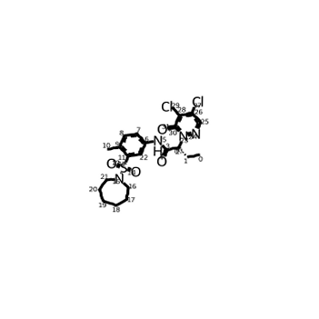 CC[C@H](C(=O)Nc1ccc(C)c(S(=O)(=O)N2CCCCCC2)c1)n1ncc(Cl)c(Cl)c1=O